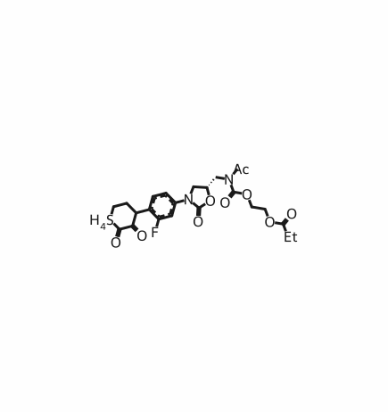 CCC(=O)OCCOC(=O)N(C[C@H]1CN(c2ccc(C3CC[SH4]C(=O)C3=O)c(F)c2)C(=O)O1)C(C)=O